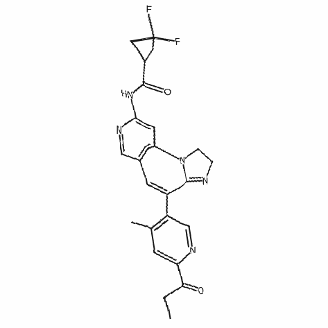 CCC(=O)c1cc(C)c(C2=Cc3cnc(NC(=O)C4CC4(F)F)cc3N3CCN=C23)cn1